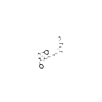 CC(=O)[C@H](Cc1ccccc1)NC(=O)[C@H](Cc1ccccc1)NC(=O)CCCNC(=O)CC[C@H](NC(=O)N[C@@H](CCC(=O)O)C(=O)O)C(=O)O